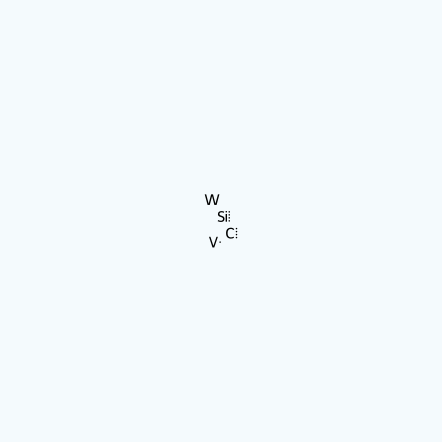 [C].[Si].[V].[W]